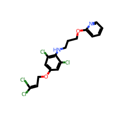 ClC(Cl)=CCOc1cc(Cl)c(NCCCOc2ccccn2)c(Cl)c1